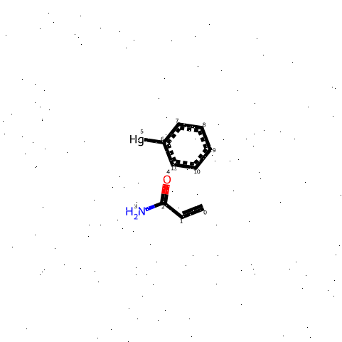 C=CC(N)=O.[Hg][c]1ccccc1